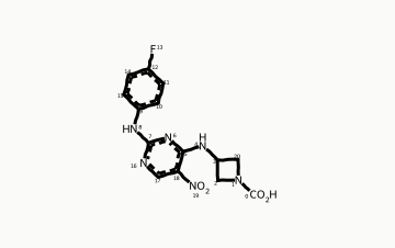 O=C(O)N1CC(Nc2nc(Nc3ccc(F)cc3)ncc2[N+](=O)[O-])C1